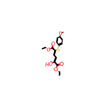 CCOC(=O)/C(O)=C/C=C(\Sc1ccc(OC)cc1)C(=O)OCC